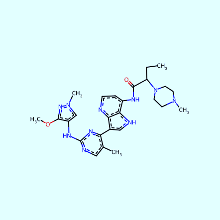 CCC(C(=O)Nc1ccnc2c(-c3nc(Nc4cn(C)nc4OC)ncc3C)c[nH]c12)N1CCN(C)CC1